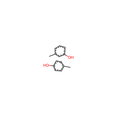 Cc1ccc(O)cc1.Cc1cccc(O)c1